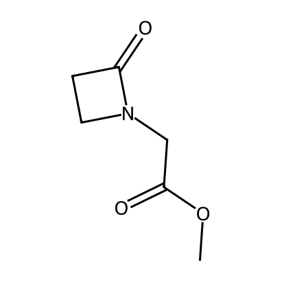 COC(=O)CN1CCC1=O